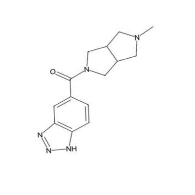 CN1CC2CN(C(=O)c3ccc4[nH]nnc4c3)CC2C1